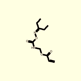 C=CC(=O)OCNC(=O)ON=C(CC)CC